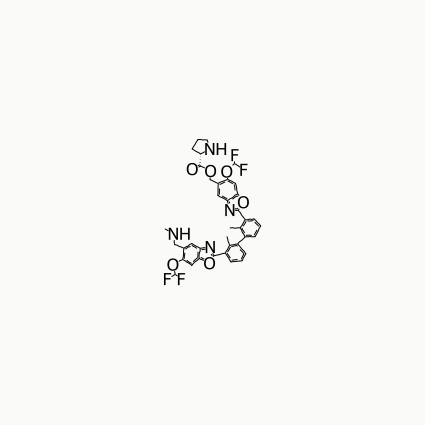 CNCc1cc2nc(-c3cccc(-c4cccc(-c5nc6cc(COC(=O)[C@@H]7CCCN7)c(OC(F)F)cc6o5)c4C)c3C)oc2cc1OC(F)F